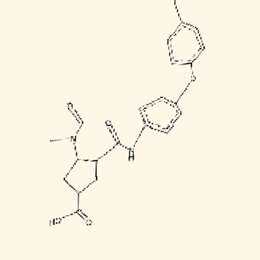 Cc1ccc(Oc2ccc(NC(=O)C3CC(C(=O)O)CC3N(C)C=O)cc2)cc1